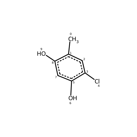 Cc1cc(Cl)c(O)cc1O